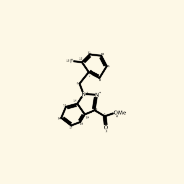 COC(=O)c1nn(Cc2ccccc2F)c2ccccc12